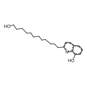 OCCCCCCCCCCCCc1ccc2cccc(O)c2n1